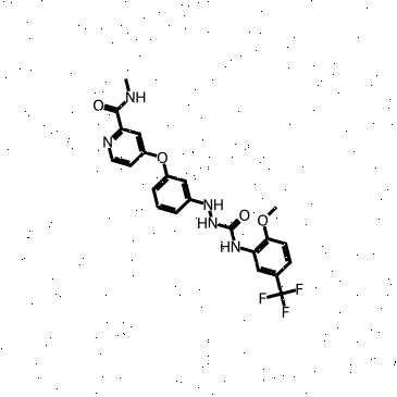 CNC(=O)c1cc(Oc2cccc(NNC(=O)Nc3cc(C(F)(F)F)ccc3OC)c2)ccn1